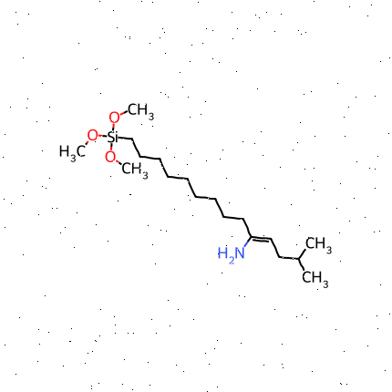 CO[Si](CCCCCCCCCC(N)=CCC(C)C)(OC)OC